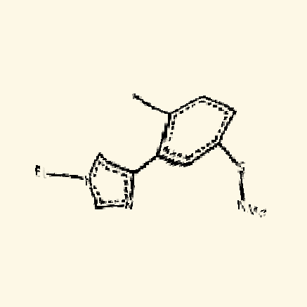 CCn1cnc(-c2cc(SNC)ccc2C)c1